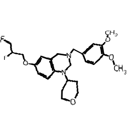 COc1ccc(CN2Cc3cc(OCC(F)CF)ccc3N(C3CCOCC3)C2)cc1OC